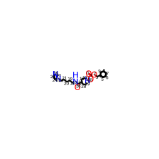 O=C(OCc1ccccc1)ON1CCC(C(=O)NCCCCCn2ccnc2)CC1